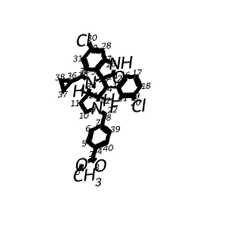 COC(=O)c1ccc(CN2CC[C@H]3[C@@H]2[C@H](c2cccc(Cl)c2F)[C@]2(C(=O)Nc4cc(Cl)ccc42)N3CC2CC2)cc1